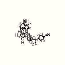 C[C@@]1(O)[C@H](O)C(O[P@@]2(=O)OCC[C@@H](c3ccc(C#N)cc3)O2)O[C@H]1n1ccc2c(N)ncnc21